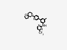 Cc1cc(Nc2nccc(C(F)(F)F)n2)cc(-c2ccc(N3CCCC4(CCCO4)C3)nc2)c1